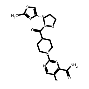 Cc1nc([C@@H]2CCON2C(=O)C2CCN(c3ncc(F)c(C(N)=O)n3)CC2)cs1